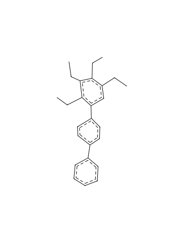 CCc1cc(-c2ccc(-c3ccccc3)cc2)c(CC)c(CC)c1CC